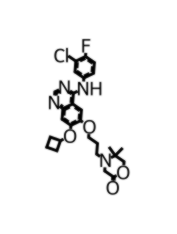 CC1(C)COC(=O)CN1CCCOc1cc2c(Nc3ccc(F)c(Cl)c3)ncnc2cc1OC1CCC1